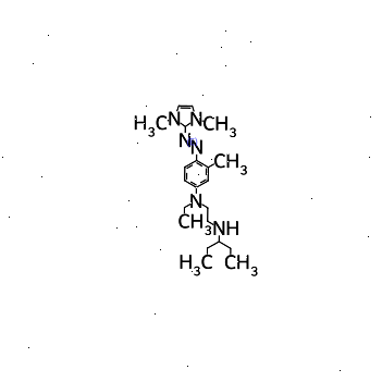 CCC(CC)NCCN(CC)c1ccc(/N=N/C2N(C)C=CN2C)c(C)c1